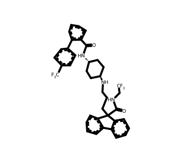 O=C(N[C@H]1CC[C@H](NCCCC2(C(=O)NCC(F)(F)F)c3ccccc3-c3ccccc32)CC1)c1ccccc1-c1ccc(C(F)(F)F)cc1